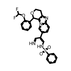 N=C/C(=C\NS(=O)(=O)c1ccccc1)c1ccc2nc3c(n2c1)C(c1ccccc1OC(F)F)OCC3